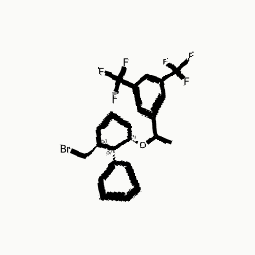 CC(O[C@H]1CCC[C@H](CBr)[C@H]1c1ccccc1)c1cc(C(F)(F)F)cc(C(F)(F)F)c1